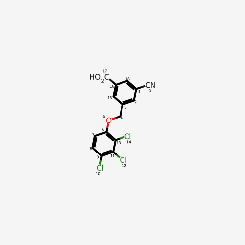 N#Cc1cc(COc2ccc(Cl)c(Cl)c2Cl)cc(C(=O)O)c1